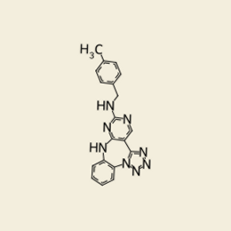 Cc1ccc(CNc2ncc3c(n2)Nc2ccccc2-n2nnnc2-3)cc1